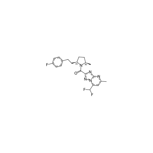 Cc1cc(C(F)F)n2nc(C(=O)N3[C@@H](CCc4ccc(F)cc4)CC[C@H]3C)nc2n1